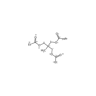 CCCC(=O)OCC(C)(COC(=O)CC)COC(=O)CC